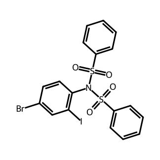 O=S(=O)(c1ccccc1)N(c1ccc(Br)cc1I)S(=O)(=O)c1ccccc1